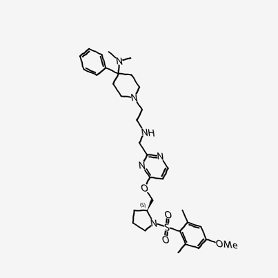 COc1cc(C)c(S(=O)(=O)N2CCC[C@H]2COc2ccnc(CNCCN3CCC(c4ccccc4)(N(C)C)CC3)n2)c(C)c1